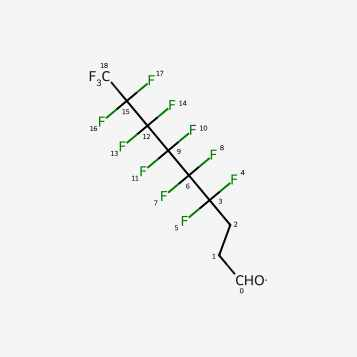 O=[C]CCC(F)(F)C(F)(F)C(F)(F)C(F)(F)C(F)(F)C(F)(F)F